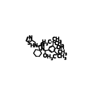 CC(C)(C)c1cc(C(=O)NC2(C(=O)NCc3nccs3)CCCCC2)cc(C(C)(C)C)c1O